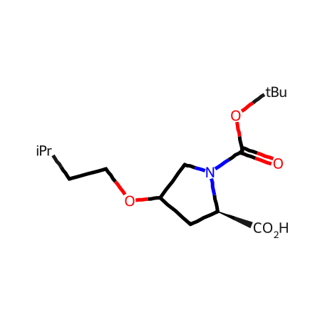 CC(C)CCOC1C[C@H](C(=O)O)N(C(=O)OC(C)(C)C)C1